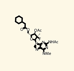 CNc1nc(NC(C)=O)nc2c1ncn2C1O[C@H](COC(=O)CC2CCCCC2)[C@@H](OC(C)=O)[C@@]1(C)F